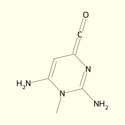 CN1C(N)=CC(=C=O)N=C1N